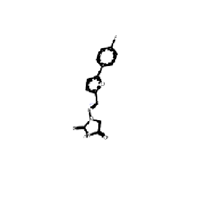 O=C1CN(/N=C/c2ccc(-c3ccc(F)cc3)o2)C(=O)N1